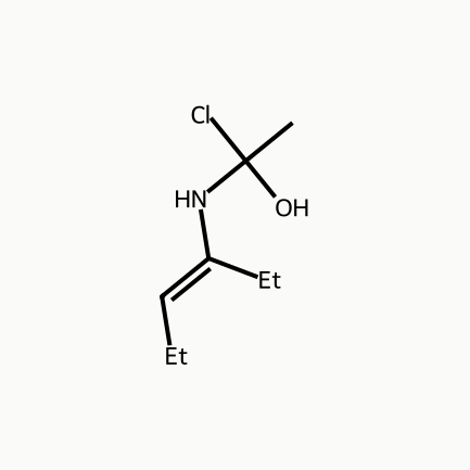 CC/C=C(\CC)NC(C)(O)Cl